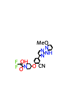 COc1cccc(Nc2nccc(-c3ccc(OC4CCN(C(=O)[C@H](O)C(F)F)CC4)c(C#N)c3)n2)n1